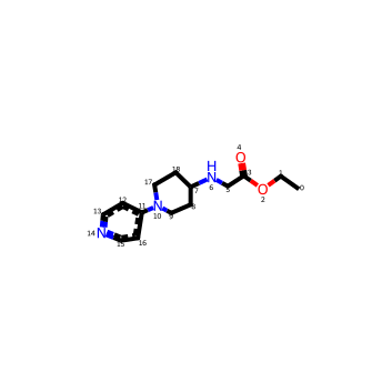 CCOC(=O)CNC1CCN(c2ccncc2)CC1